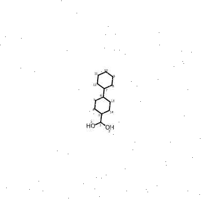 OC(O)C1CCC(C2CCCCC2)CC1